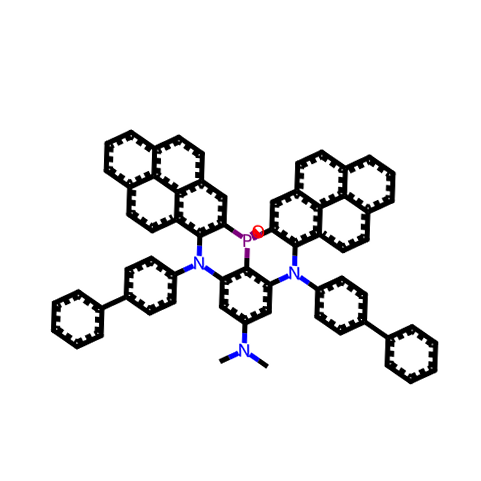 CN(C)c1cc2c3c(c1)N(c1ccc(-c4ccccc4)cc1)c1c(cc4ccc5cccc6ccc1c4c56)P3(=O)c1cc3ccc4cccc5ccc(c1N2c1ccc(-c2ccccc2)cc1)c3c45